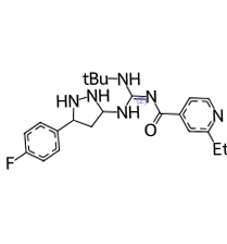 CCc1cc(C(=O)/N=C(\NC2CC(c3ccc(F)cc3)NN2)NC(C)(C)C)ccn1